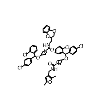 Cc1cc(CNC(=O)N2CC(OC(c3ccc(Cl)cc3)c3ccccc3Cl)C2)c(C)o1.O=C(NCC1COc2ccccc2O1)N1CC(OC(c2ccc(Cl)cc2)c2ccccc2Cl)C1